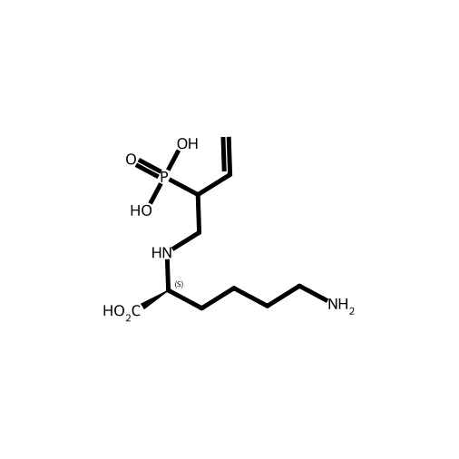 C=CC(CN[C@@H](CCCCN)C(=O)O)P(=O)(O)O